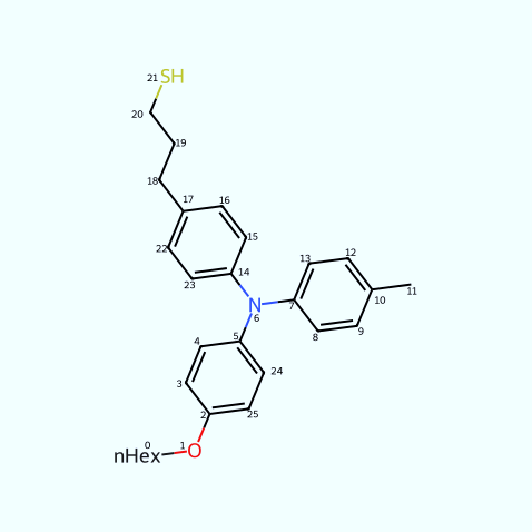 CCCCCCOc1ccc(N(c2ccc(C)cc2)c2ccc(CCCS)cc2)cc1